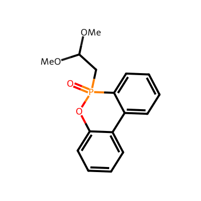 COC(CP1(=O)Oc2ccccc2-c2ccccc21)OC